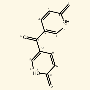 C=C(O)/C=C\C(=C/C)C(=O)C(/C=C\C(=C)O)=C/C